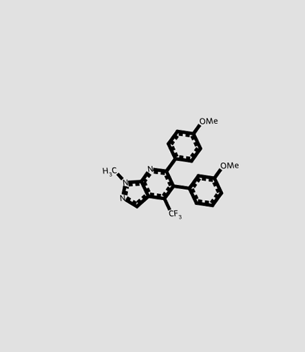 COc1ccc(-c2nc3c(cnn3C)c(C(F)(F)F)c2-c2cccc(OC)c2)cc1